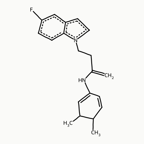 C=C(CCn1ccc2cc(F)ccc21)NC1=CC(C)C(C)C=C1